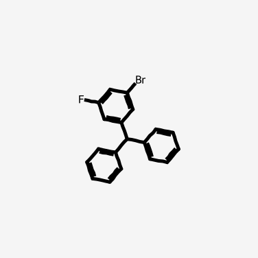 Fc1cc(Br)cc(C(c2ccccc2)c2ccccc2)c1